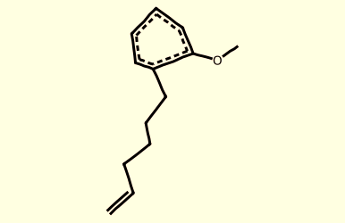 C=CCCCCc1ccccc1OC